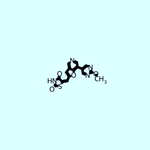 COc1ncc(-c2cncc3cc(C=C4SC(=O)NC4=O)oc23)cn1